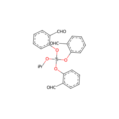 CC(C)[O][Ti]([O]c1ccccc1C=O)([O]c1ccccc1C=O)[O]c1ccccc1C=O